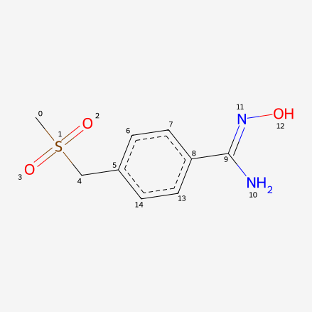 CS(=O)(=O)Cc1ccc(C(N)=NO)cc1